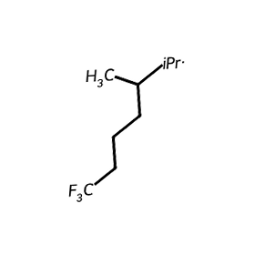 C[C](C)C(C)CCCC(F)(F)F